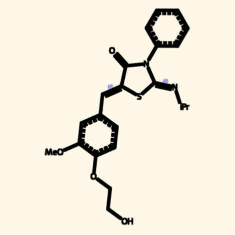 COc1cc(/C=C2\S/C(=N\C(C)C)N(c3ccccc3)C2=O)ccc1OCCO